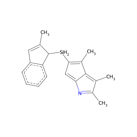 CC1=Cc2ccccc2C1[SiH2]C1=C(C)C2=C(C)C(C)=NC2=C1